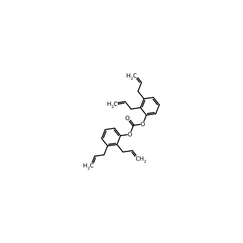 C=CCc1cccc(OC(=O)Oc2cccc(CC=C)c2CC=C)c1CC=C